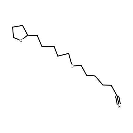 N#CCCCCCOCCCCCC1CCCO1